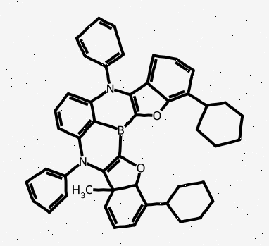 CC12C=CC=C(C3CCCCC3)C1OC1=C2N(c2ccccc2)c2cccc3c2B1c1oc2c(C4CCCCC4)cccc2c1N3c1ccccc1